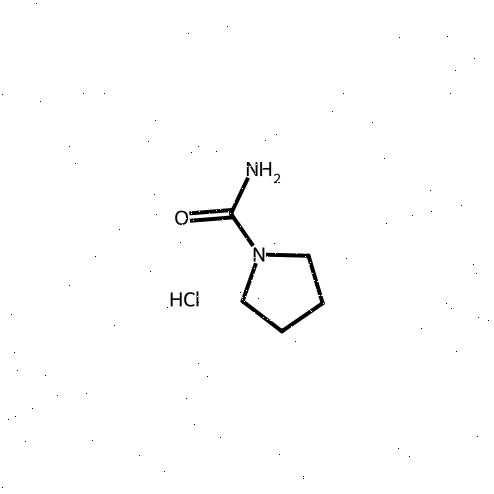 Cl.NC(=O)N1CCCC1